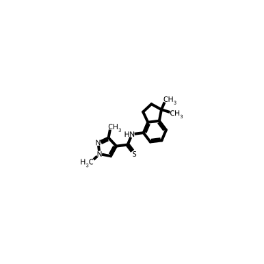 Cc1nn(C)cc1C(=S)Nc1cccc2c1CCC2(C)C